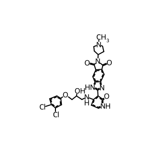 CN1CCC(N2C(=O)c3cc4nc(-c5c(NCC(O)COc6ccc(Cl)c(Cl)c6)cc[nH]c5=O)[nH]c4cc3C2=O)CC1